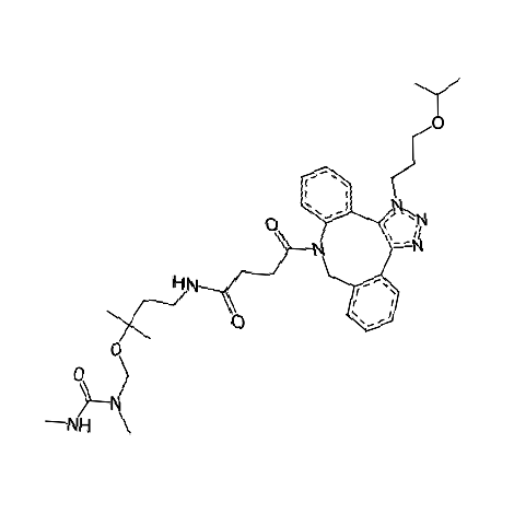 CNC(=O)N(C)COC(C)(C)CCNC(=O)CCC(=O)N1Cc2ccccc2-c2nnn(CCCOC(C)C)c2-c2ccccc21